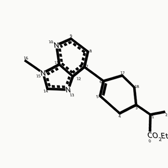 CCOC(=O)C(C)C1CC=C(c2ccnc3c2ncn3C)CC1